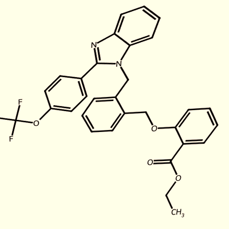 CCOC(=O)c1ccccc1OCc1ccccc1Cn1c(-c2ccc(OC(F)(F)F)cc2)nc2ccccc21